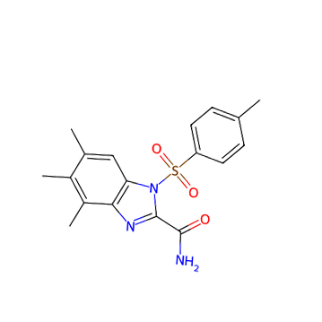 Cc1ccc(S(=O)(=O)n2c(C(N)=O)nc3c(C)c(C)c(C)cc32)cc1